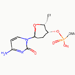 CC[C@H]1OC(n2ccc(N)nc2=O)C[C@H]1OP(=O)(O)OC